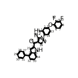 Cc1cc(Oc2cccc(F)c2F)ccc1-n1ncc(C(=O)c2cc3c(-c4ccccc4)cccc3[nH]2)c1N